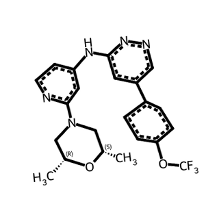 C[C@@H]1CN(c2cc(Nc3cc(-c4ccc(OC(F)(F)F)cc4)cnn3)ccn2)C[C@H](C)O1